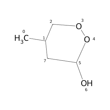 CC1COOC(O)C1